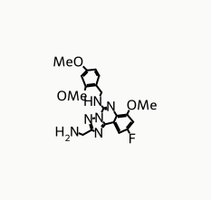 COc1ccc(CNc2nc3c(OC)cc(F)cc3c3nc(CN)nn23)c(OC)c1